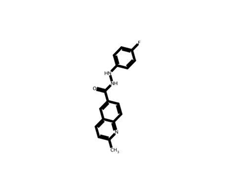 Cc1ccc2cc(C(=O)NNc3ccc(F)cc3)ccc2n1